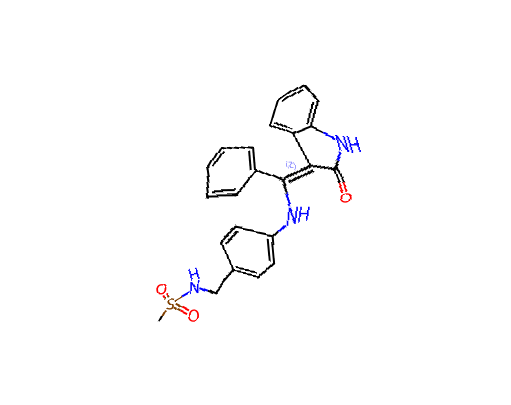 CS(=O)(=O)NCc1ccc(N/C(=C2\C(=O)Nc3ccccc32)c2ccccc2)cc1